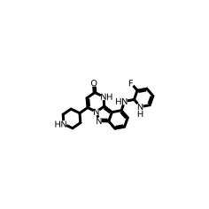 O=c1cc(C2CCNCC2)n2nc3cccc(NC4NC=CC=C4F)c3c2[nH]1